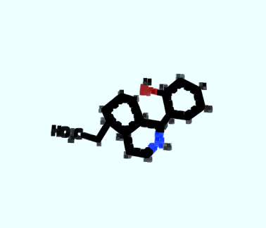 O=C(O)Cc1cccc2c(-c3ccccc3Br)nccc12